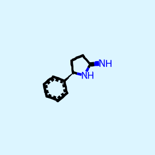 N=C1CC[C@H](c2ccccc2)N1